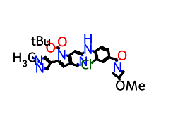 COC1CN(C(=O)c2ccc(Nc3cc4c(cn3)cc(-c3cnn(C)c3)n4C(=O)OC(C)(C)C)c(Cl)c2)C1